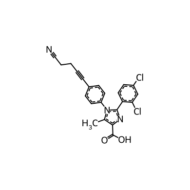 Cc1c(C(=O)O)nc(-c2ccc(Cl)cc2Cl)n1-c1ccc(C#CCCC#N)cc1